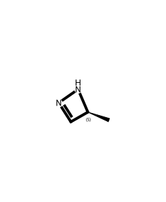 C[C@H]1C=NN1